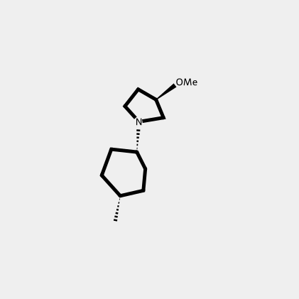 CO[C@@H]1CCN([C@H]2CC[C@@H](C)CC2)C1